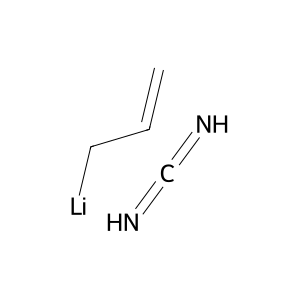 N=C=N.[Li][CH2]C=C